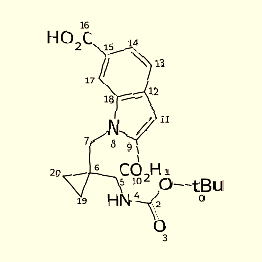 CC(C)(C)OC(=O)NCC1(Cn2c(C(=O)O)cc3ccc(C(=O)O)cc32)CC1